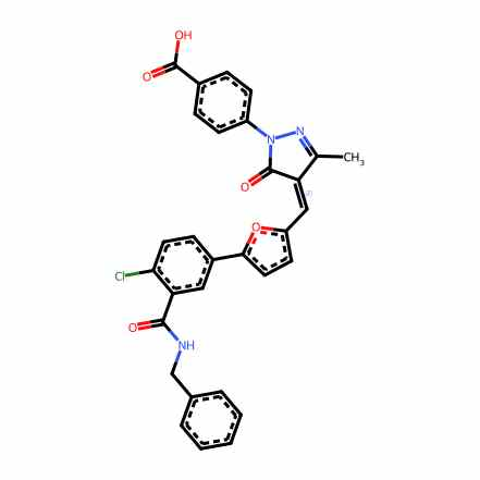 CC1=NN(c2ccc(C(=O)O)cc2)C(=O)/C1=C\c1ccc(-c2ccc(Cl)c(C(=O)NCc3ccccc3)c2)o1